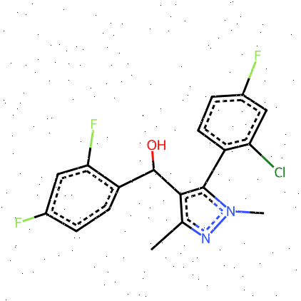 Cc1nn(C)c(-c2ccc(F)cc2Cl)c1C(O)c1ccc(F)cc1F